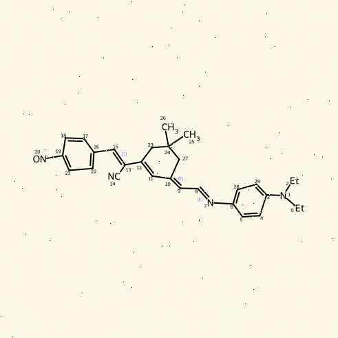 CCN(CC)c1ccc(/N=C/C=C2C=C(/C(C#N)=C/c3ccc(N=O)cc3)CC(C)(C)C/2)cc1